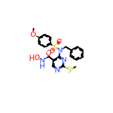 COc1ccc(S(=O)(=O)N(Cc2ccccc2)c2nc(SC)ncc2C(=O)NO)cc1